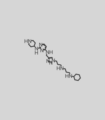 c1cc(NCc2cn(CCCNCCCNC3CCCCC3)nn2)nc(NC2CCNCC2)n1